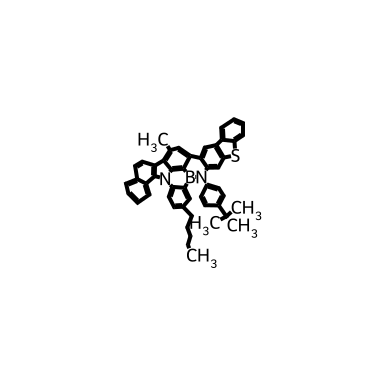 CCCCCc1ccc2c(c1)B1c3c(cc(C)c4c5ccc6ccccc6c5n-2c34)-c2cc3c(cc2N1c1ccc(C(C)(C)C)cc1)sc1ccccc13